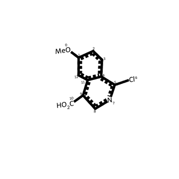 COc1ccc2c(Cl)ncc(C(=O)O)c2c1